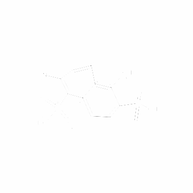 Nc1ccc2c(O)c(S(=O)(=O)O)ccc2c1S(=O)(=O)O